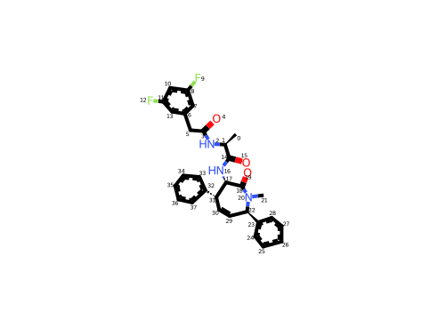 C[C@H](NC(=O)Cc1cc(F)cc(F)c1)C(=O)N[C@@H]1C(=O)N(C)[C@@H](c2ccccc2)C=C[C@@H]1c1ccccc1